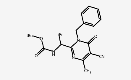 Cc1nc(C(NC(=O)OC(C)(C)C)C(C)C)n(Cc2ccccc2)c(=O)c1C#N